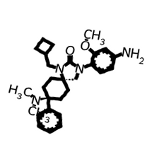 COc1cc(N)ccc1N1C[C@]2(CC[C@](c3ccccc3)(N(C)C)CC2)N(CC2CCC2)C1=O